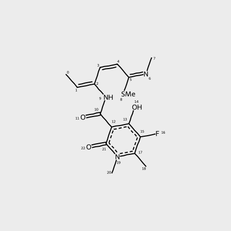 CC=C(/C=C\C(=N/C)SC)NC(=O)c1c(O)c(F)c(C)n(C)c1=O